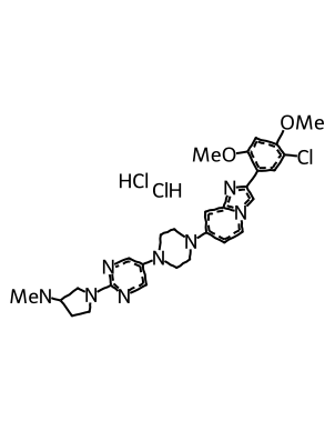 CNC1CCN(c2ncc(N3CCN(c4ccn5cc(-c6cc(Cl)c(OC)cc6OC)nc5c4)CC3)cn2)C1.Cl.Cl